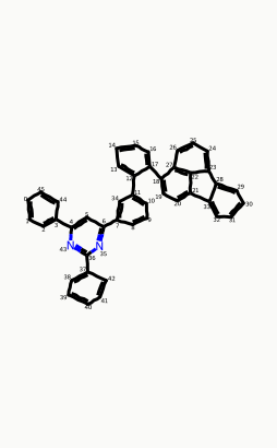 c1ccc(-c2cc(-c3cccc(-c4ccccc4-c4ccc5c6c(cccc46)-c4ccccc4-5)c3)nc(-c3ccccc3)n2)cc1